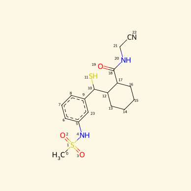 CS(=O)(=O)Nc1cccc(C(S)C2CCCCC2C(=O)NCC#N)c1